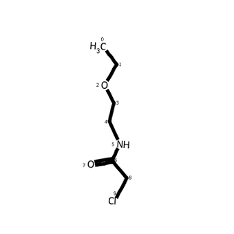 CCOCCNC(=O)CCl